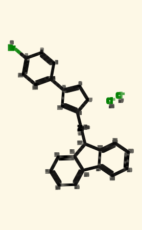 Brc1ccc(C2=CC[C]([Zr+2][CH]3c4ccccc4-c4ccccc43)=C2)cc1.[Cl-].[Cl-]